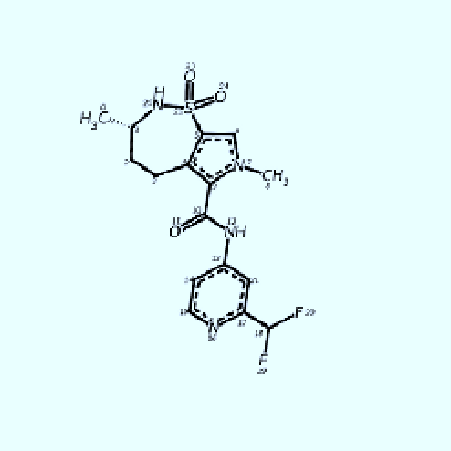 C[C@H]1CCc2c(cn(C)c2C(=O)Nc2ccnc(C(F)F)c2)S(=O)(=O)N1